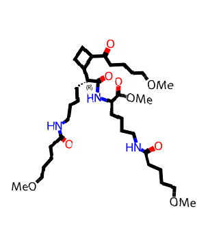 COCCCCC(=O)NCCCCC(NC(=O)[C@H](CCCCNC(=O)CCCCOC)C1CCC1C(=O)CCCCOC)C(=O)OC